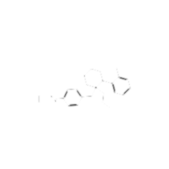 CCCC1(Cc2ccc(N)cc2)CCCCC1c1ccccc1CC